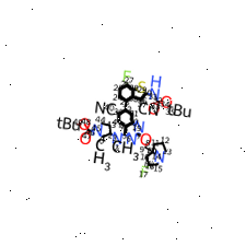 CC1C(N(C)c2nc(OC[C@@]34CCCN3C[C@H](F)C4)nc3cc(-c4ccc(F)c5sc(NC(=O)OC(C)(C)C)c(C#N)c45)c(C#N)cc23)CCN1C(=O)OC(C)(C)C